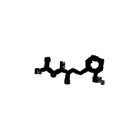 CCC(=O)ONC(=O)CCc1ccccc1N